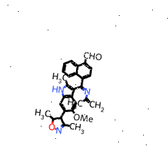 C=C(C)/N=C(\c1c(C)[nH]c2cc(C3C(C)=NOC3C)c(OC)cc12)c1ccc(C=O)c2ccccc12